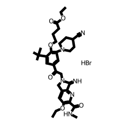 Br.CCOC(=O)CCCOc1c(N2CCC(C#N)CC2)cc(C(=O)CN2Cc3cc(OCC)c(C(=O)NC)nc3C2=N)cc1C(C)(C)C